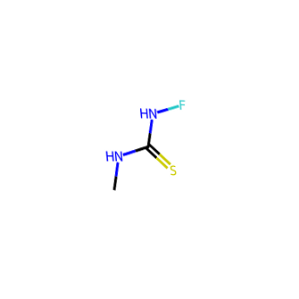 CNC(=S)NF